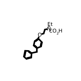 CCN(CCOc1ccc(Cc2ccccc2)cc1)C(=O)O